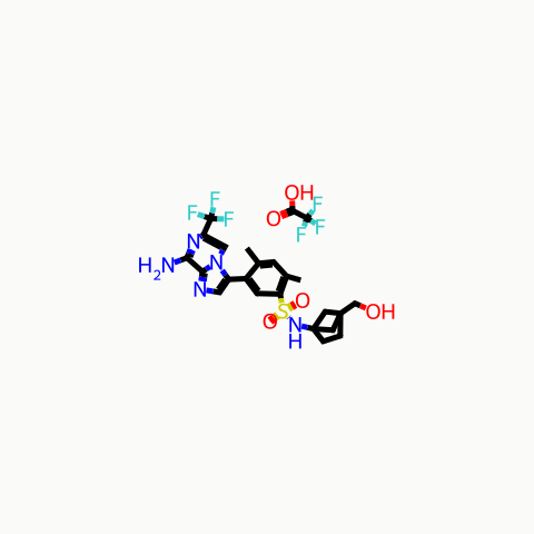 Cc1cc(C)c(S(=O)(=O)NC23CCC(CO)(C2)C3)cc1-c1cnc2c(N)nc(C(F)(F)F)cn12.O=C(O)C(F)(F)F